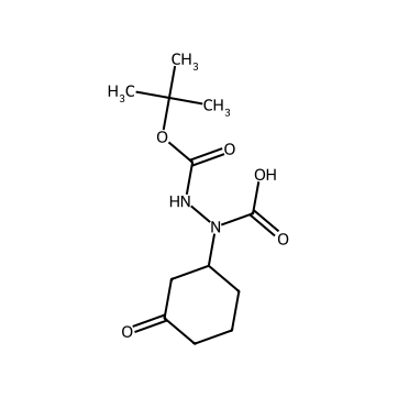 CC(C)(C)OC(=O)NN(C(=O)O)C1CCCC(=O)C1